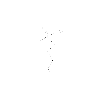 COP(C)(=O)ONCCO